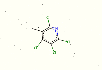 Cc1c(Cl)nc(Cl)c(Cl)c1Cl